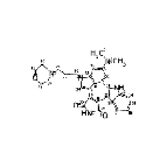 CN(C)c1ccc2c(C3=C(c4c[nH]c5ccccc45)C(=O)NC3=O)cn(CCCN3CCOCC3)c2c1